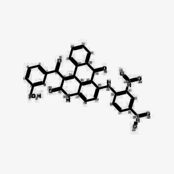 O=C(c1cccc(S(=O)(=O)O)c1)c1c2c3c(c(Nc4ccc([SH](=O)=O)cc4[SH](=O)=O)ccc3[nH]c1=O)C(=O)c1ccccc1-2